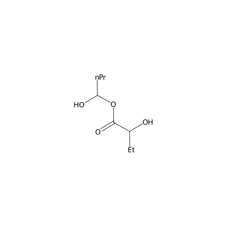 CCCC(O)OC(=O)C(O)CC